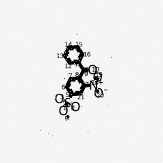 COS(=O)(=O)c1ccc(C(=O)c2ccccc2)c([N+](=O)[O-])c1